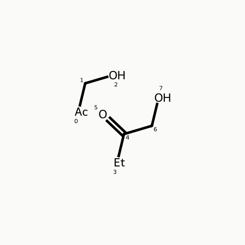 CC(=O)CO.CCC(=O)CO